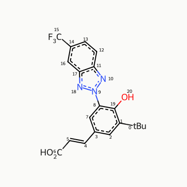 CC(C)(C)c1cc(C=CC(=O)O)cc(-n2nc3ccc(C(F)(F)F)cc3n2)c1O